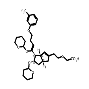 O=C(O)CSCCC1=C[C@@H]2[C@H](C1)C[C@H](OC1CCCCO1)[C@H]2C(=CCCOc1cccc(C(F)(F)F)c1)OC1CCCCO1